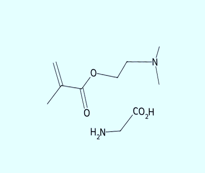 C=C(C)C(=O)OCCN(C)C.NCC(=O)O